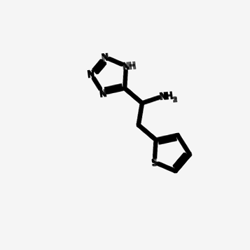 NC(Cc1cccs1)c1nnn[nH]1